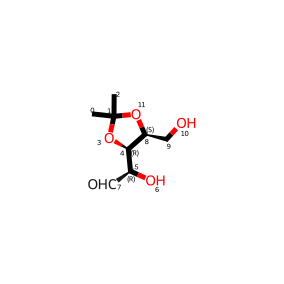 CC1(C)O[C@H]([C@@H](O)C=O)[C@H](CO)O1